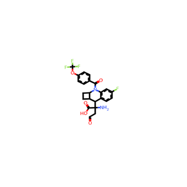 NC(CC=O)(C(=O)O)C1c2ccc(F)cc2N(C(=O)c2ccc(OC(F)(F)F)cc2)C2CCC21